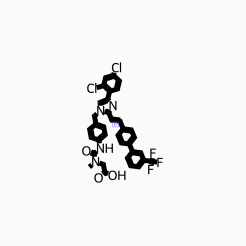 CN(CC(=O)O)C(=O)Nc1ccc(Cn2cc(-c3ccc(Cl)cc3Cl)nc2/C=C/c2ccc(-c3cccc(C(F)(F)F)c3)cc2)cc1